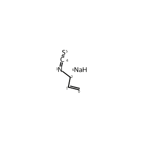 C=CCN=C=S.[NaH]